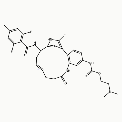 Cc1cc(F)c(C(=O)NC2C/C=C/CCC(=O)Nc3cc(NC(=O)OCCN(C)C)ccc3-c3nc2[nH]c3Cl)c(F)c1